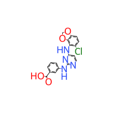 O=C(O)c1cccc(Nc2nccc(Nc3c(Cl)ccc4c3OCO4)n2)c1